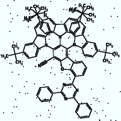 CC(C)(C)c1ccc2c(c1)c1cc(C(C)(C)C)ccc1n2-c1c(-n2c3ccc(C(C)(C)C)cc3c3cc(C(C)(C)C)ccc32)c(-n2c3ccc(C(C)(C)C)cc3c3cc(C(C)(C)C)ccc32)c2c(oc3c(-c4nc(-c5ccccc5)nc(-c5ccccc5)n4)cccc32)c1C#N